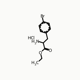 CCOC(=O)C(N)Cc1ccc(Br)cc1.Cl